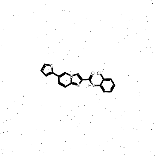 O=C(Nc1ccccc1Cl)c1cn2cc(-c3ccco3)ccc2n1